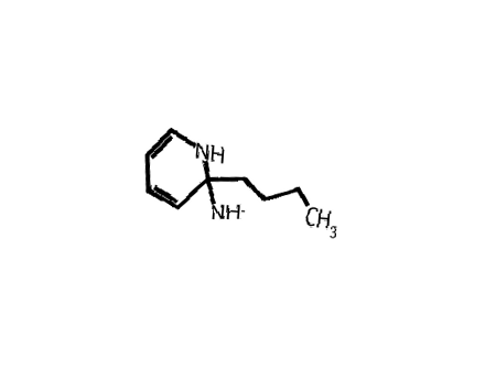 CCCCC1([NH])C=CC=CN1